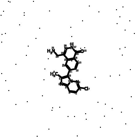 Cc1nc2ccc(Cl)nn2c1-c1ccc2c(=O)[nH]nc(CN)c2c1